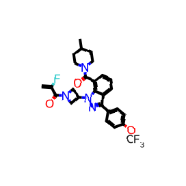 C=C(F)C(=O)N1CC(n2nc(-c3ccc(OC(F)(F)F)cc3)c3cccc(C(=O)N4CCC(C)CC4)c32)C1